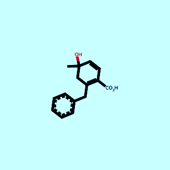 CC1(O)C=CC(C(=O)O)=C(Cc2ccccc2)C1